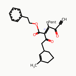 C#CC(=O)/C(CCCCC)=C(\C(=O)CC1C=C(C)CCC1)C(=O)OCCc1ccccc1